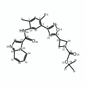 Cc1cc(F)c(-c2noc(C3CN(C(=O)OC(C)(C)C)C3)n2)cc1NC(=O)c1cnc2ccccn12